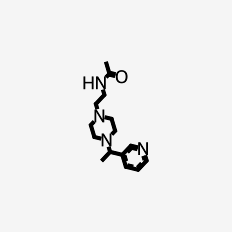 CC(=O)NCCN1CCN(C(C)c2cccnc2)CC1